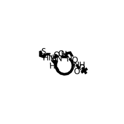 CC(C)(C)OC(=O)N[C@H]1CCCCC/C=C\[C@@H]2C[C@@]2(C(=O)NCc2cccs2)NC(=O)[C@@H]2CCCN2C1=O